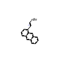 CCCC/C=C/c1cccc2cc3ccccc3cc12